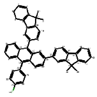 CC1(C)C2=C(CCC=C2)c2cc(-c3c4ccccc4c(-c4ccc(F)cc4)c4ccc(-c5ccc6c(c5)C(C)(C)c5ccccc5-6)cc34)ccc21